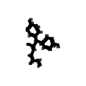 C=N/C(C)=N\C=C(/C)C(c1cnc(C)nc1)c1cnc(C)nc1